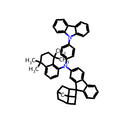 CC1(C)CCC(C)(C)c2c(N(c3ccc(-n4c5ccccc5c5ccccc54)cc3)c3ccc4c(c3)C3(c5ccccc5-4)C4CC5CC6CC3C64C5)cccc21